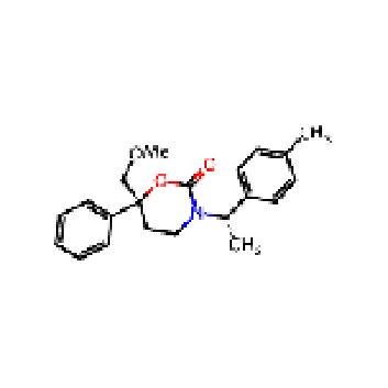 COC[C@]1(c2ccccc2)CCN([C@@H](C)c2ccc(C)cc2)C(=O)O1